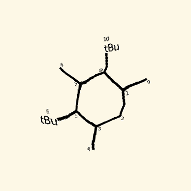 CC1CC(C)C(C(C)(C)C)C(C)C1C(C)(C)C